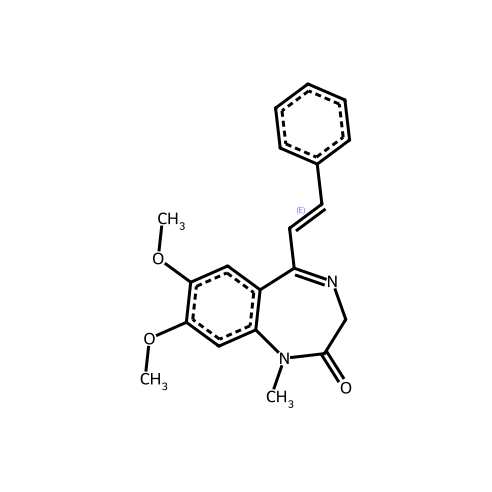 COc1cc2c(cc1OC)N(C)C(=O)CN=C2/C=C/c1ccccc1